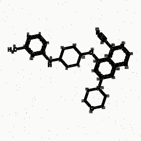 Cc1nccc(NC2CCC(Oc3cc(N4CCOCC4)cc4ncnc(C#N)c34)CC2)n1